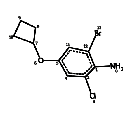 Nc1c(Cl)cc(OC2CCC2)cc1Br